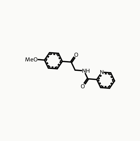 COc1ccc(C(=O)CNC(=O)c2ccccn2)cc1